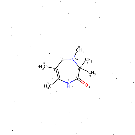 CC1=C(C)NC(=O)C(C)(C)N(C)C1